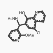 COc1ncccc1C(NC(C)=O)c1cc(Cl)c2cccnc2c1O